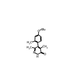 Cc1cc(OC(C)(C)C)ccc1-c1c(C)n[nH]c(=O)c1C